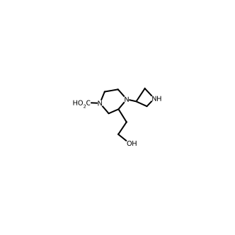 O=C(O)N1CCN(C2CNC2)C(CCO)C1